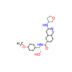 COc1ccc([C@@H](CO)NC(=O)c2ccc3cnc(NC4CCOC4)cc3c2)cc1